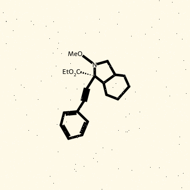 CCOC(=O)[C@@]1(C#Cc2ccccc2)C2CCCCC2CN1OC